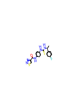 CC(NC(=S)Nc1ccc(NC(=O)c2csnn2)cc1)c1ccc(F)cc1